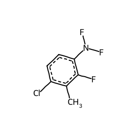 Cc1c(Cl)ccc(N(F)F)c1F